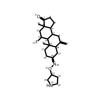 C=C1CC2C3CCC(=O)C3(C)CC(F)C2C2(C)CCC(=NOC3CCNC3)CC12